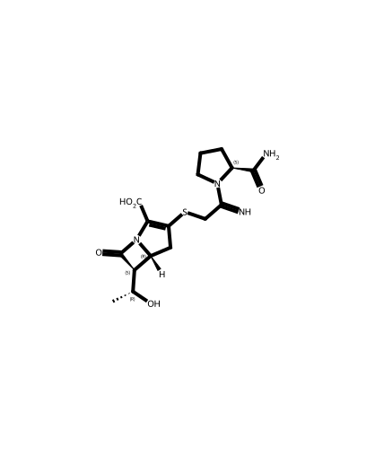 C[C@@H](O)[C@H]1C(=O)N2C(C(=O)O)=C(SCC(=N)N3CCC[C@H]3C(N)=O)C[C@H]12